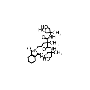 CC(CO)(CO)NC(=O)C(C)(CCCN1C(=O)C2=C(CCCC2)C1=O)C(=O)NC(C)(CO)CO